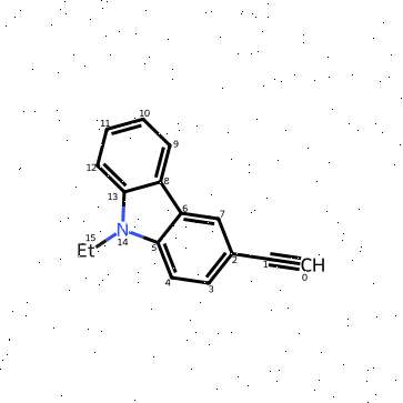 C#Cc1ccc2c(c1)c1ccccc1n2CC